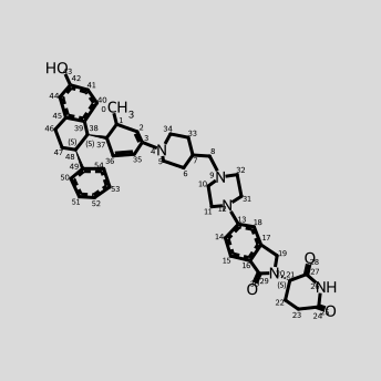 CC1C=C(N2CCC(CN3CCN(c4ccc5c(c4)CN([C@H]4CCC(=O)NC4=O)C5=O)CC3)CC2)C=CC1[C@@H]1c2ccc(O)cc2CC[C@@H]1c1ccccc1